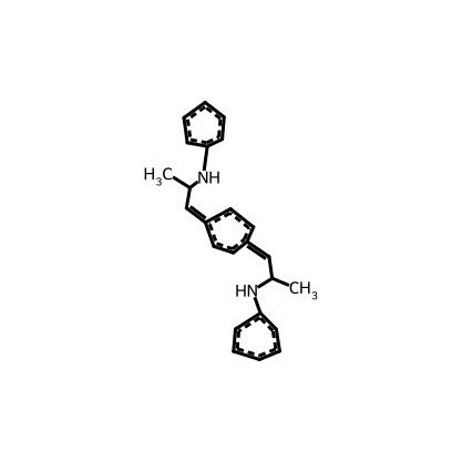 CC(C=c1ccc(=CC(C)Nc2ccccc2)cc1)Nc1ccccc1